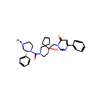 CC(=O)N1CCN(C(=O)N2CC[C@@](O)(Cn3cnc(-c4ccccc4)cc3=O)C3(CCCC3)C2)[C@H](c2ccccc2)C1